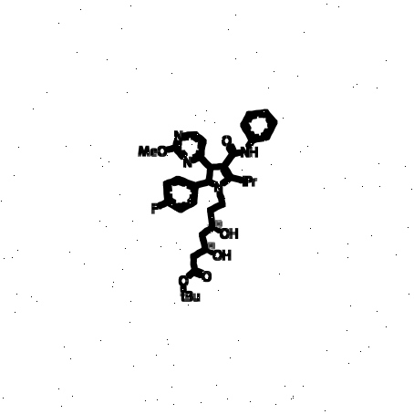 COc1nccc(C2C(C(=O)Nc3ccccc3)=C(C(C)C)N(CC[C@@H](O)C[C@@H](O)CC(=O)OC(C)(C)C)C2c2ccc(F)cc2)n1